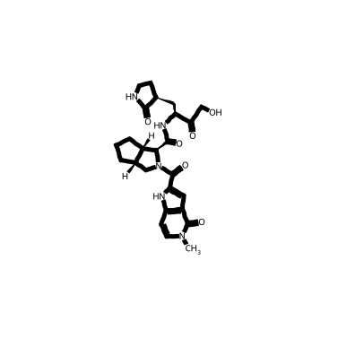 Cn1ccc2[nH]c(C(=O)N3C[C@@H]4CCC[C@@H]4[C@H]3C(=O)N[C@@H](C[C@@H]3CCNC3=O)C(=O)CO)cc2c1=O